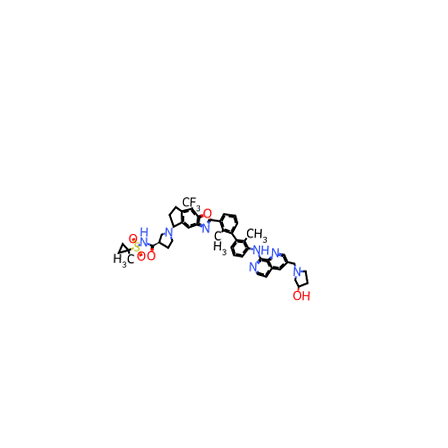 Cc1c(Nc2nccc3cc(CN4CC[C@@H](O)C4)cnc23)cccc1-c1cccc(-c2nc3cc4c(c(C(F)(F)F)c3o2)CC[C@H]4N2CC[C@@H](C(=O)NS(=O)(=O)C3(C)CC3)C2)c1C